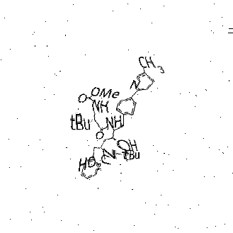 COC(=O)N[C@H](C(=O)N[C@@H](Cc1ccc(-c2ccc(C)cn2)cc1)[C@@H](O)C[C@H](Cc1ccccc1)N(C(=O)O)C(C)(C)C)C(C)(C)C